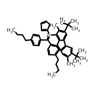 CCCCc1ccc([C](c2ccc(CCCC)cc2)=[Zr]([C]2=CC=CC2)[c]2c(C)c(C(C)(C)C)cc3c2Cc2cc(C)c(C(C)(C)C)cc2-3)cc1